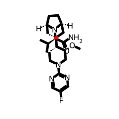 CO[C@@H]1CN(c2ncc(F)cn2)CC[C@@H]1[C@@H]1C[C@H]2CC[C@@H](C1)N2[C@@H](C(N)=O)C(C)C